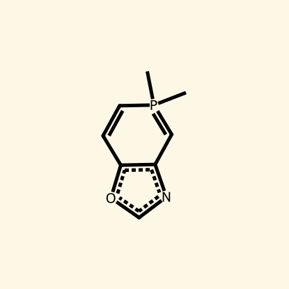 CP1(C)=Cc2ncoc2C=C1